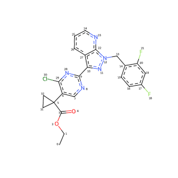 CCOC(=O)C1(c2cnc(-c3nn(Cc4ccc(F)cc4F)c4ncccc34)nc2Cl)CC1